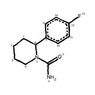 NC(=O)N1CCCCC1c1ccc(F)cc1